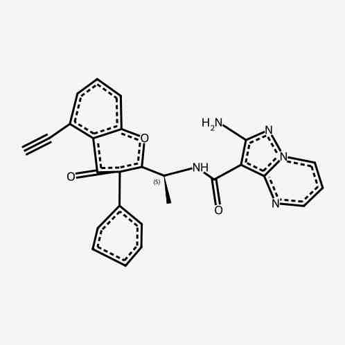 C#Cc1cccc2oc([C@H](C)NC(=O)c3c(N)nn4cccnc34)c(-c3ccccc3)c(=O)c12